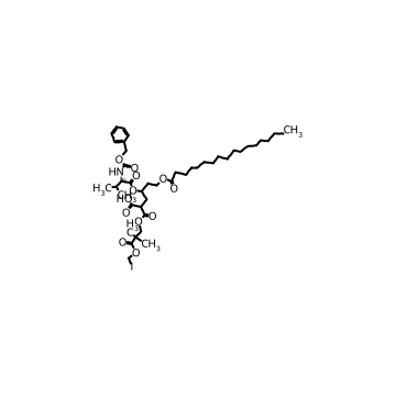 CCCCCCCCCCCCCCCCCC(=O)OCCC(CC(C(=O)O)C(=O)OCC(C)(C)C(=O)OCI)OC(=O)[C@@H](NC(=O)OCc1ccccc1)C(C)C